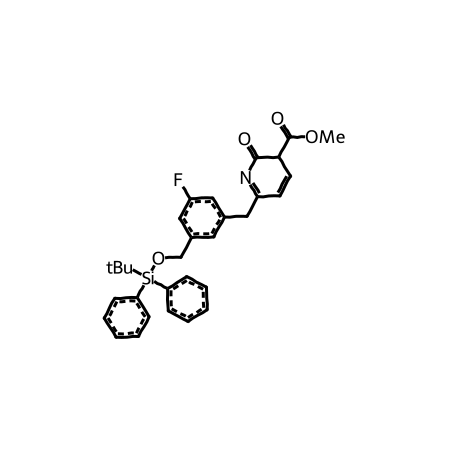 COC(=O)C1C=CC(Cc2cc(F)cc(CO[Si](c3ccccc3)(c3ccccc3)C(C)(C)C)c2)=NC1=O